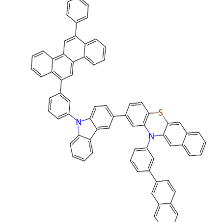 c1ccc(-c2cc3c4ccccc4c(-c4cccc(-n5c6ccccc6c6cc(-c7ccc8c(c7)N(c7cccc(-c9ccc%10ccccc%10c9)c7)c7cc9ccccc9cc7S8)ccc65)c4)cc3c3ccccc23)cc1